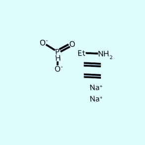 C=C.C=C.CCN.O=[PH]([O-])[O-].[Na+].[Na+]